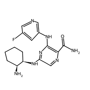 NC(=O)c1ncc(N[C@@H]2CCCC[C@@H]2N)nc1Nc1cncc(F)c1